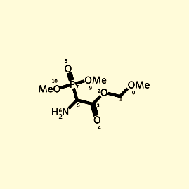 COCOC(=O)C(N)P(=O)(OC)OC